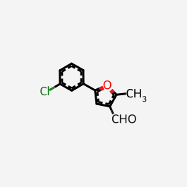 Cc1oc(-c2cccc(Cl)c2)cc1C=O